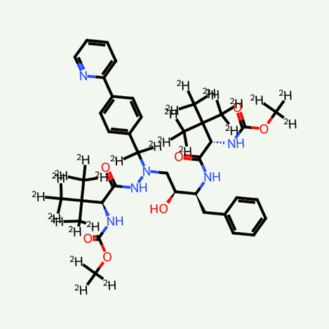 [2H]C([2H])([2H])OC(=O)N[C@H](C(=O)N[C@@H](Cc1ccccc1)[C@@H](O)CN(NC(=O)[C@@H](NC(=O)OC([2H])([2H])[2H])C(C([2H])([2H])[2H])(C([2H])([2H])[2H])C([2H])([2H])[2H])C([2H])([2H])c1ccc(-c2ccccn2)cc1)C(C([2H])([2H])[2H])(C([2H])([2H])[2H])C([2H])([2H])[2H]